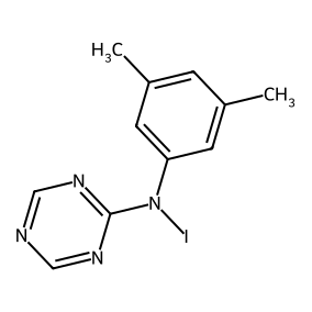 Cc1cc(C)cc(N(I)c2ncncn2)c1